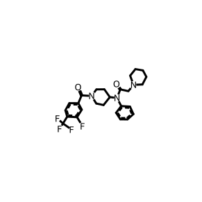 O=C(c1ccc(C(F)(F)F)c(F)c1)N1CCC(N(C(=O)CN2CCCCC2)c2ccccc2)CC1